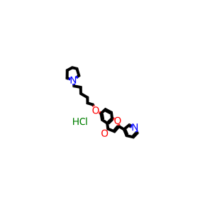 Cl.O=c1cc(-c2cccnc2)oc2ccc(OCCCCCCN3CCCCC3)cc12